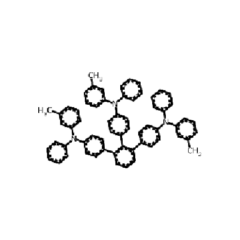 Cc1cccc(N(c2ccccc2)c2ccc(-c3cccc(-c4ccc(N(c5ccccc5)c5cccc(C)c5)cc4)c3-c3ccc(N(c4ccccc4)c4cccc(C)c4)cc3)cc2)c1